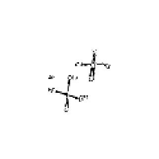 O=P(O)(O)O.[O]=[Cr](=[O])([O-])[O-].[Zn+2]